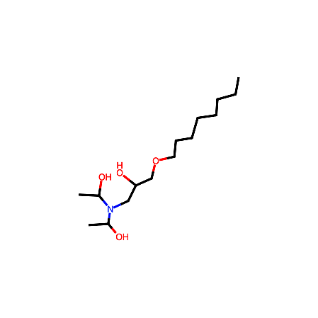 CCCCCCCCOCC(O)CN(C(C)O)C(C)O